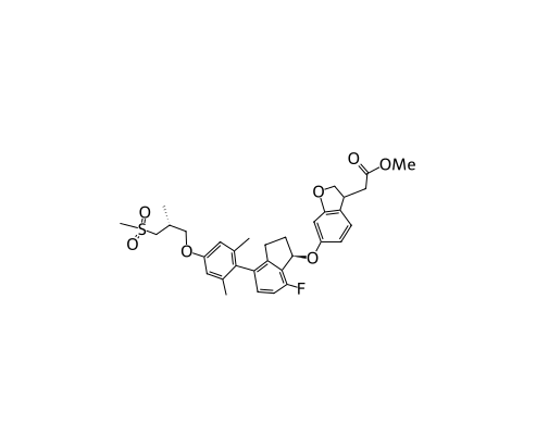 COC(=O)CC1COc2cc(O[C@@H]3CCc4c(-c5c(C)cc(OC[C@@H](C)CS(C)(=O)=O)cc5C)ccc(F)c43)ccc21